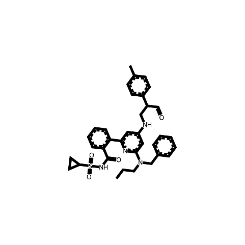 CCCN(Cc1ccccc1)c1cc(NCC(C=O)c2ccc(C)cc2)cc(-c2ccccc2C(=O)NS(=O)(=O)C2CC2)n1